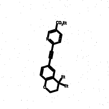 CCOC(=O)c1ccc(C#Cc2ccc3c(c2)C(CC)(CC)CCO3)nc1